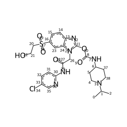 CC(C)N1CCC(NC(=O)Oc2nc3ccc(S(=O)(=O)CCO)cc3n2CC(=O)Nc2ccc(Cl)cn2)CC1